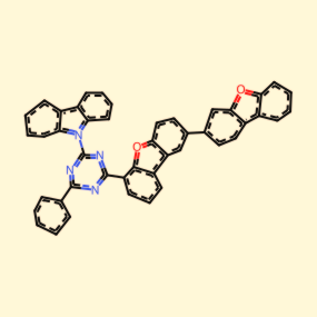 c1ccc(-c2nc(-c3cccc4c3oc3ccc(-c5ccc6c(c5)oc5ccccc56)cc34)nc(-n3c4ccccc4c4ccccc43)n2)cc1